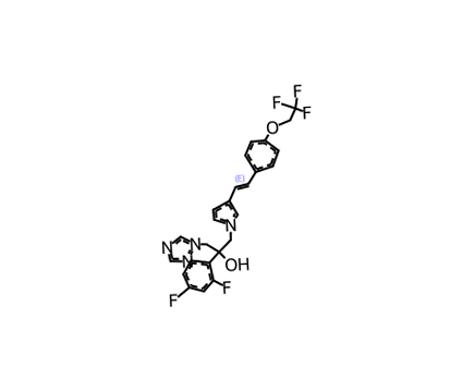 OC(Cn1ccc(/C=C/c2ccc(OCC(F)(F)F)cc2)c1)(Cn1cncn1)c1ccc(F)cc1F